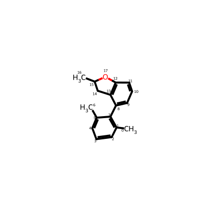 Cc1cccc(C)c1-c1cccc2c1CC(C)O2